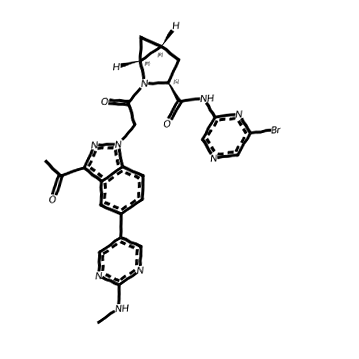 CNc1ncc(-c2ccc3c(c2)c(C(C)=O)nn3CC(=O)N2[C@@H]3C[C@@H]3C[C@H]2C(=O)Nc2cncc(Br)n2)cn1